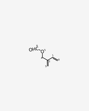 C=CC(=C)COC=O